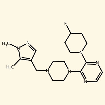 Cc1c(CN2CCN(c3nccnc3N3CCC(F)CC3)CC2)cnn1C